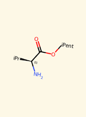 CCCC(C)OC(=O)[C@@H](N)C(C)C